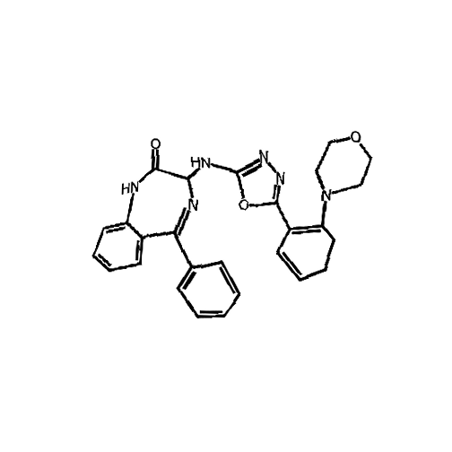 O=C1Nc2ccccc2C(c2ccccc2)=NC1Nc1nnc(C2=C(N3CCOCC3)CCC=C2)o1